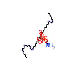 CCCCC/C=C\C/C=C\C/C=C\C/C=C\CCCCCC(=O)O[C@H](COC(=O)CCCCCCC/C=C\C/C=C\CCCCC)COP(=O)(O)OCCN